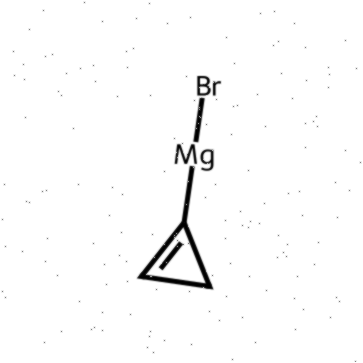 [Br][Mg][C]1=CC1